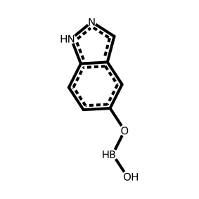 OBOc1ccc2[nH]ncc2c1